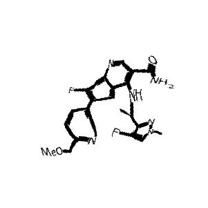 COCc1ccc(-c2cc3c(N[C@H](C)c4nn(C)cc4F)c(C(N)=O)cnc3cc2F)cn1